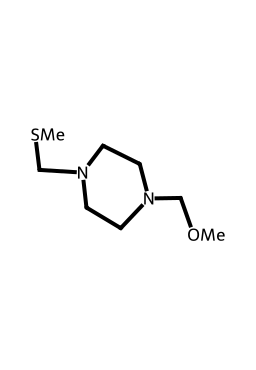 COCN1CCN(CSC)CC1